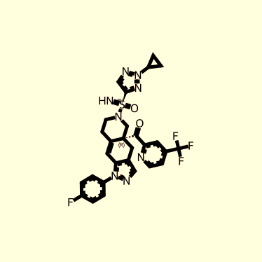 N=[S@@](=O)(c1cnn(C2CC2)n1)N1CCC2=Cc3c(cnn3-c3ccc(F)cc3)C[C@]2(C(=O)c2cc(C(F)(F)F)ccn2)C1